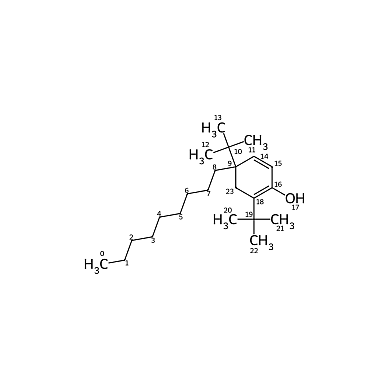 CCCCCCCCCC1(C(C)(C)C)C=CC(O)=C(C(C)(C)C)C1